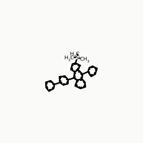 C[Si](C)(C)c1ccc2c(-c3ccc(-c4ccccc4)cc3)c3ccccc3c(-c3ccccc3)c2c1